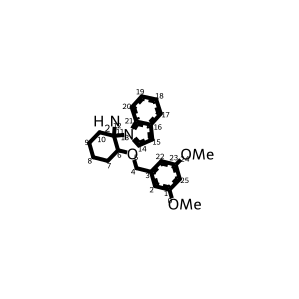 COc1cc(COC2CCCCC2(N)n2ccc3ccccc32)cc(OC)c1